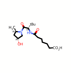 C[C@@H]1C[C@@H](O)CN1C(=O)[C@@H](NC(=O)CCCCCC(=O)O)C(C)(C)C